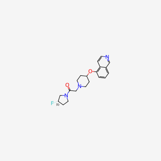 O=C(CN1CCC(Oc2cccc3cnccc23)CC1)N1CC[C@H](F)C1